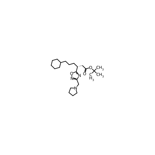 CC(C)(C)OC(=O)C[C@@H](CCCC1CCCCC1)c1nc(CN2CCCC2)no1